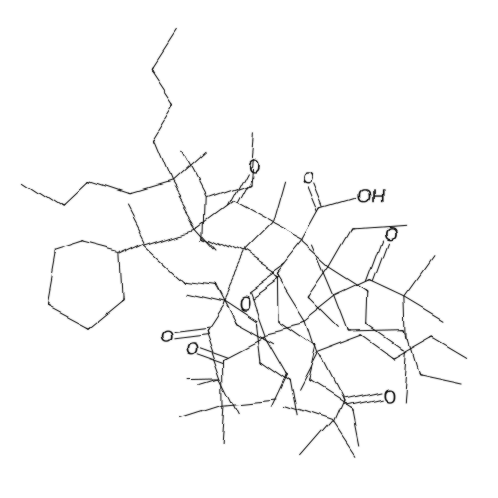 CCCCCCC(CC(C)CC)(C(C)(CCCC)C(=O)C(C)(C)C)C(C)(C(=O)C(C)(C(C)(CCCC)CCCC)C(C)(CCCC)C1CCCCC1)C(C(=O)O)(C(=O)C(C(C)(CC)C(=O)C(C)(C)C)(C(C)(CCCC)C(=O)C(C)(C)C)C(C)(CCCC)C(=O)C(C)(C)C)C(CC)(CC)CCCC